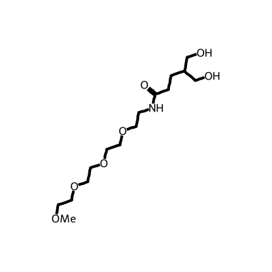 COCCOCCOCCOCCNC(=O)CCC(CO)CO